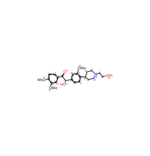 COc1ccc(C(=O)C(O)c2ccc(C3CCN(CCO)CC3)c(OC)c2)cc1OC